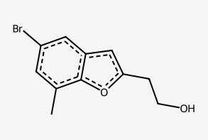 Cc1cc(Br)cc2cc(CCO)oc12